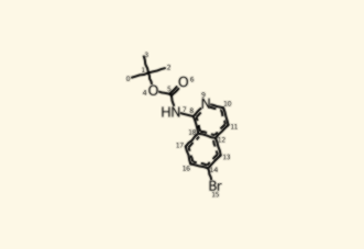 CC(C)(C)OC(=O)Nc1nccc2cc(Br)ccc12